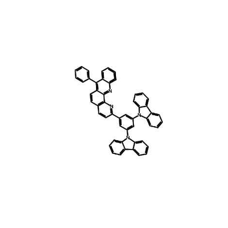 C1=C=c2nc3c(ccc4ccc(-c5cc(-n6c7ccccc7c7ccccc76)cc(-n6c7ccccc7c7ccccc76)c5)nc43)c(-c3ccccc3)c2=CC=1